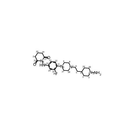 NN1CCC(CCN2CCN(c3ccc(NN4C(=O)CCCC4=O)cc3F)CC2)CC1